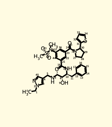 CCn1cc(CNC[C@@H](O)[C@H](Cc2ccccc2)NC(=O)c2cc(C(=O)N3CCCC3c3cccs3)cc(N(C)S(C)(=O)=O)c2)cn1